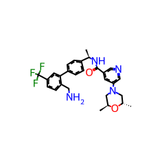 C[C@H]1CN(c2cncc(C(=O)N[C@H](C)c3ccc(-c4cc(C(F)(F)F)ccc4CN)cc3)c2)C[C@H](C)O1